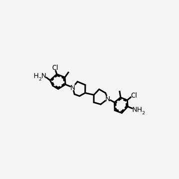 Cc1c(N2CCC(C3CCN(c4ccc(N)c(Cl)c4C)CC3)CC2)ccc(N)c1Cl